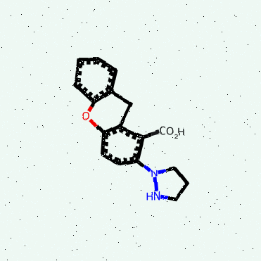 O=C(O)c1c(N2CCCN2)ccc2c1Cc1ccccc1O2